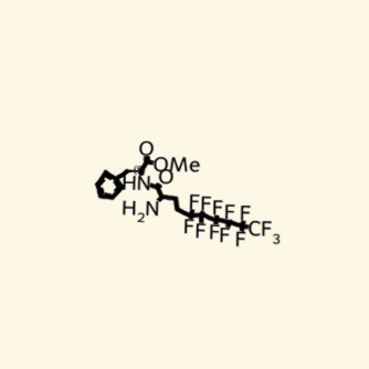 COC(=O)[C@H](Cc1ccccc1)NC(=O)C(N)CCC(F)(F)C(F)(F)C(F)(F)C(F)(F)C(F)(F)C(F)(F)F